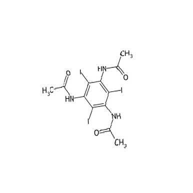 CC(=O)Nc1c(I)c(NC(C)=O)c(I)c(NC(C)=O)c1I